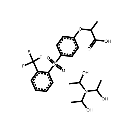 CC(O)N(C(C)O)C(C)O.CC(Oc1ccc(S(=O)(=O)c2ccccc2C(F)(F)F)cc1)C(=O)O